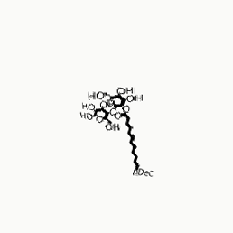 CCCCCCCCCCCCCCCCCCCCCC(=O)O[C@H]1[C@H](O[C@H]2[C@H](O)[C@@H](O)[C@H](O)O[C@@H]2CO)O[C@H](CO)[C@H](O)[C@@H]1O